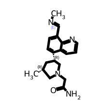 C/N=C/c1ccc([C@H]2C[C@@H](C)CN(CC(N)=O)C2)c2cccnc12